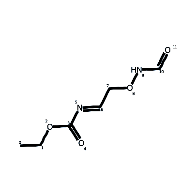 CCOC(=O)/N=C/CONC=O